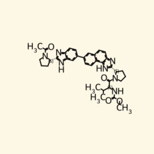 COC(=O)N[C@H](C(=O)N1CCC[C@H]1c1nc2ccc3cc(-c4ccc5nc([C@@H]6CCCN6C(C)=O)[nH]c5c4)ccc3c2[nH]1)C(C)C